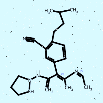 C=C(NN1BCCC1)/C(=C(C)/N=C\C)c1ccc(CCC(C)C)c(C#N)c1